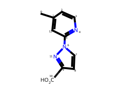 Cc1ccnc(-n2ccc(C(=O)O)n2)c1